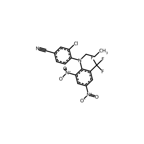 CCCN(c1ccc(C#N)cc1Cl)c1c([N+](=O)[O-])cc([N+](=O)[O-])cc1C(F)(F)F